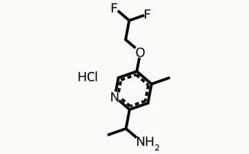 Cc1cc(C(C)N)ncc1OCC(F)F.Cl